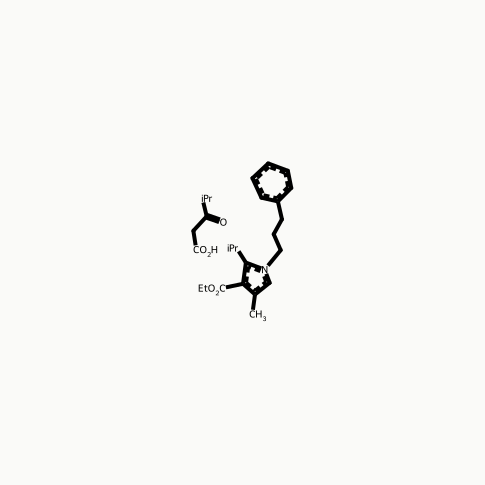 CC(C)C(=O)CC(=O)O.CCOC(=O)c1c(C)cn(CCCc2ccccc2)c1C(C)C